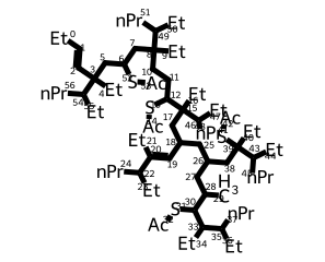 CC/C=C/C(CC)(CC(CC(CC)(CCC(SC(C)=O)C(CC)(CC(/C=C(\CC)C(CC)CCC)CC(CC(C)C(SC(C)=O)C(CC)C(CC)CCC)CC(CC)(SC(C)=O)C(CC)CCC)C(CC)CCC)C(CC)CCC)SC(C)=O)C(CC)CCC